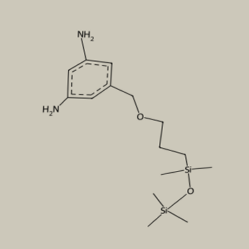 C[Si](C)(C)O[Si](C)(C)CCCOCc1cc(N)cc(N)c1